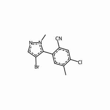 Cc1cc(-c2c(Br)cnn2C)c(C#N)cc1Cl